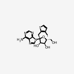 Nc1ncnc2c1ncn2[C@]1(Cc2sccc2I)O[C@H](CO)[C@@H](O)[C@H]1O